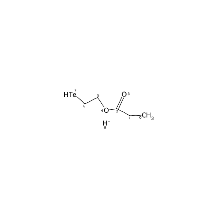 CCC(=O)OCC[TeH].[H+]